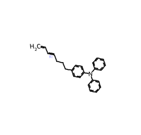 C=C/C=C/CCCc1ccc(N(c2ccccc2)c2ccccc2)cc1